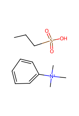 CCCS(=O)(=O)O.C[N+](C)(C)c1ccccc1